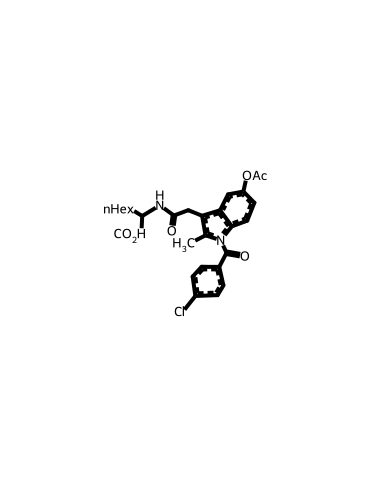 CCCCCCC(NC(=O)Cc1c(C)n(C(=O)c2ccc(Cl)cc2)c2ccc(OC(C)=O)cc12)C(=O)O